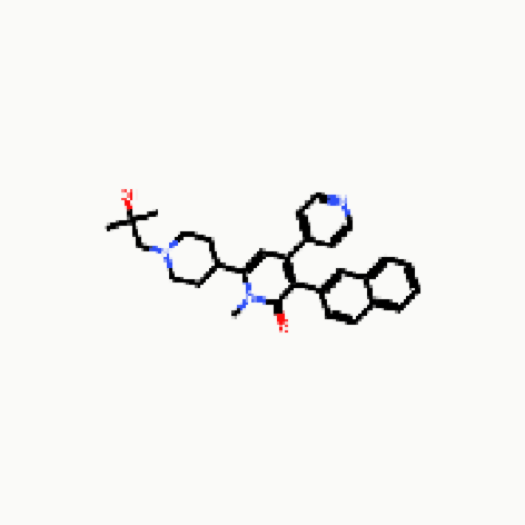 Cn1c(C2CCN(CC(C)(C)O)CC2)cc(-c2ccncc2)c(-c2ccc3ccccc3c2)c1=O